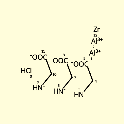 Cl.[Al+3].[Al+3].[NH-]CC(=O)[O-].[NH-]CC(=O)[O-].[NH-]CC(=O)[O-].[Zr]